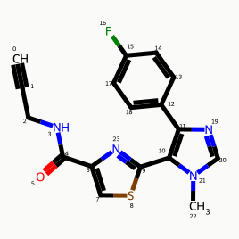 C#CCNC(=O)c1csc(-c2c(-c3ccc(F)cc3)ncn2C)n1